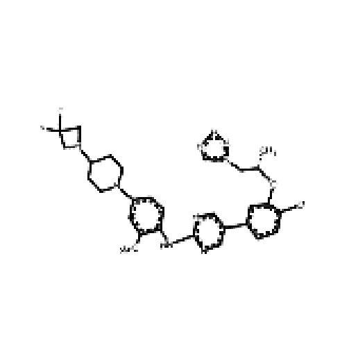 COc1cc(N2CCC(N3CC(F)(F)C3)CC2)ccc1Nc1ncc(-c2ccc(Cl)c(O[C@@H](C)Cn3cnnn3)c2)cn1